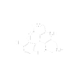 COC(=O)C1=C(C)NC2=C(C(=O)CNC2)C1c1c(F)ccc(Cl)c1Cl